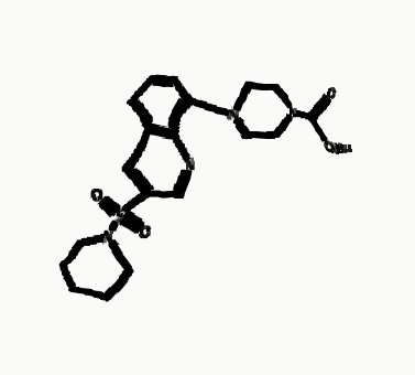 CC(C)COC(=O)N1CCN(c2cccc3cc(S(=O)(=O)N4CCCCC4)cnc23)CC1